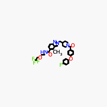 Cc1c(C(=O)NCCOCC(F)(F)F)ccc2nn(CC3CCN(C(=O)c4ccc(Oc5ccc(F)cc5)cc4)CC3)cc12